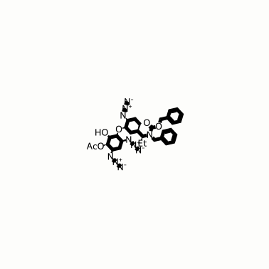 CC[C@H]([C@@H]1CC[C@@H](N=[N+]=[N-])[C@@H](O[C@H]2[C@H](O)[C@@H](OC(C)=O)[C@H](N=[N+]=[N-])C[C@@H]2N=[N+]=[N-])C1)N(Cc1ccccc1)C(=O)OCc1ccccc1